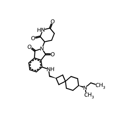 CCN(C)[C@H]1CCC2(CC1)C[C@H](CNc1cccc3c1C(=O)N(C1CCC(=O)NC1=O)C3=O)C2